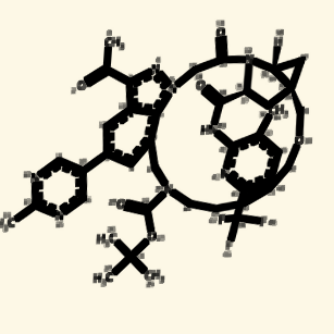 CC(=O)c1nn2c3c(cc(-c4cnc(C)nc4)cc13)CN(C(=O)OC(C)(C)C)CCC=CCOC[C@@]13C[C@@H](C(=O)Nc4nc(C(F)(F)F)ccc4C)N(C(=O)C2)[C@@H]1C3